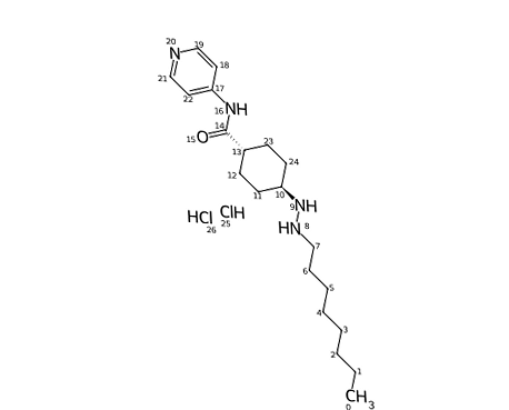 CCCCCCCCNN[C@H]1CC[C@H](C(=O)Nc2ccncc2)CC1.Cl.Cl